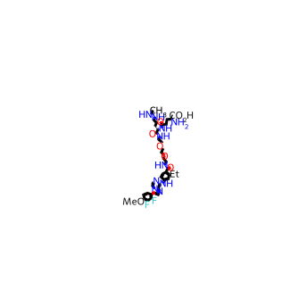 CCc1cc(Nc2nccn3c(-c4ccc(OC)c(F)c4F)cnc23)ccc1C(=O)NCCOCCOCCNC(=O)[C@H](CCCNC(C)=N)NC(=O)CC[C@H](N)C(=O)O